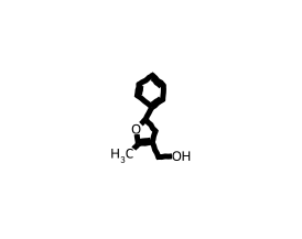 CC1=C(CO)CC(c2ccccc2)O1